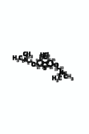 CCN(CC)CCOc1ccc2c(c1)sc1cc(OCCN(CC)CC)ccc12.Cl.Cl